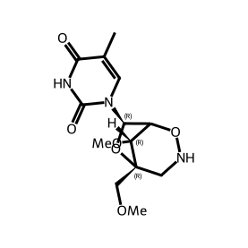 COC[C@@]12CNOC([C@H](n3cc(C)c(=O)[nH]c3=O)O1)[C@H]2OC